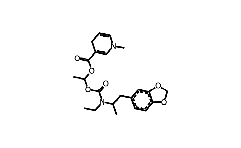 CCN(C(=O)OC(C)OC(=O)C1=CN(C)C=CC1)C(C)Cc1ccc2c(c1)OCO2